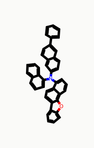 c1ccc(-c2ccc3cc(N(c4cccc5ccccc45)c4cccc5c4ccc4c6ccccc6oc54)ccc3c2)cc1